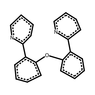 c1ccc(-c2ccccc2Oc2ccccc2-c2ccccn2)nc1